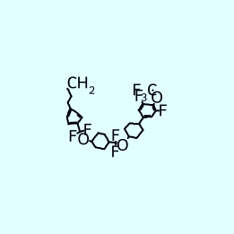 C=CCCc1ccc(C(F)(F)OC2CCC(C(F)(F)OC3CCC(c4cc(F)c(OC(F)(F)F)c(F)c4)CC3)CC2)cc1